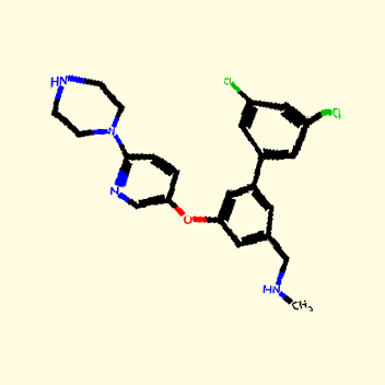 CNCc1cc(Oc2ccc(N3CCNCC3)nc2)cc(-c2cc(Cl)cc(Cl)c2)c1